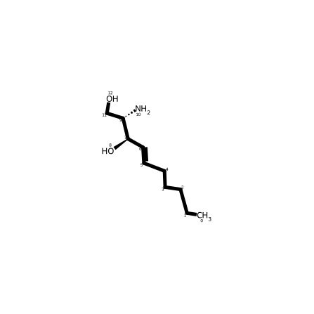 CCCCC/C=C/[C@@H](O)[C@@H](N)CO